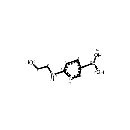 OCCNc1ccc(B(O)O)cn1